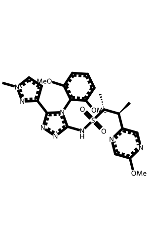 COc1cnc([C@H](C)[C@@H](C)S(=O)(=O)Nc2nnc(-c3ccn(C)n3)n2-c2c(OC)cccc2OC)cn1